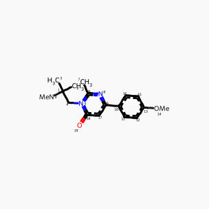 CNC(C)(C)Cn1c(C)nc(-c2ccc(OC)cc2)cc1=O